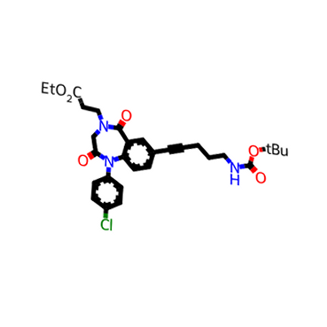 CCOC(=O)CCN1CC(=O)N(c2ccc(Cl)cc2)c2ccc(C#CCCCNC(=O)OC(C)(C)C)cc2C1=O